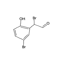 O=CC(Br)c1cc(Br)ccc1O